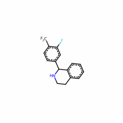 Fc1cc(C2NCCc3ccccc32)ccc1C(F)(F)F